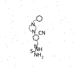 N#Cc1cc(/C=N/NC(N)=S)ccc1N1CCCN(Cc2ccccc2)CC1